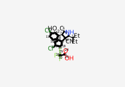 CCC(CC)[C@@H]1N[C@@H](C(=O)O)[C@H](c2cccc(Cl)c2)[C@@]1(C#N)c1ccc(Cl)cc1.O=C(O)C(F)(F)F